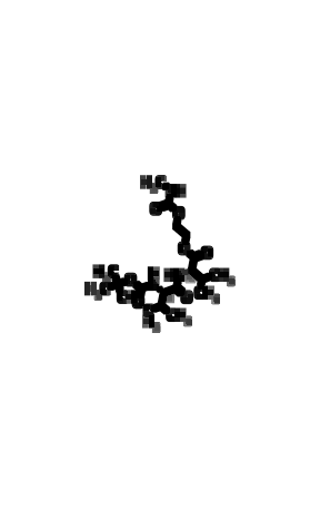 CNC(=O)OCCOC(=O)[C@@H](NC(=O)[C@@H](NC(=O)OC(C)(C)C)C(C)C)C(C)C